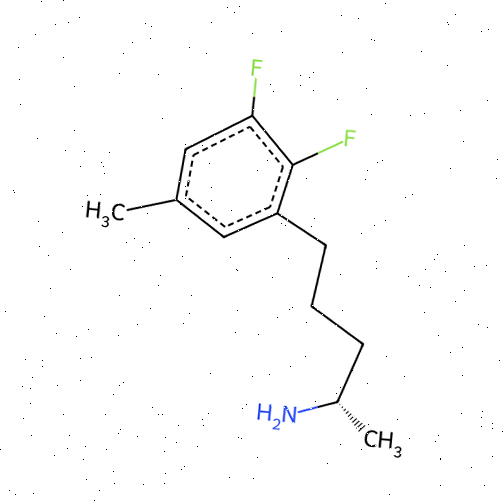 Cc1cc(F)c(F)c(CCC[C@H](C)N)c1